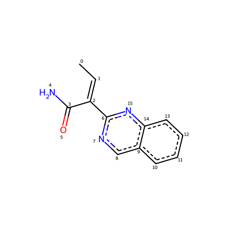 CC=C(C(N)=O)c1ncc2ccccc2n1